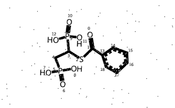 O=C(SC(CP(=O)(O)O)P(=O)(O)O)c1ccccc1